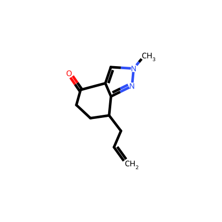 C=CCC1CCC(=O)c2cn(C)nc21